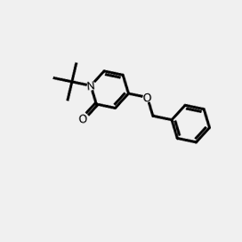 CC(C)(C)n1ccc(OCc2ccccc2)cc1=O